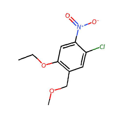 CCOc1cc([N+](=O)[O-])c(Cl)cc1COC